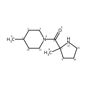 CC1CCN(C(=O)C2(C)CCCN2)CC1